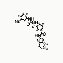 CN1CCc2nc(NC(=O)c3cccc(CNC(=O)Nc4cccc(C#N)c4)c3)sc2C1